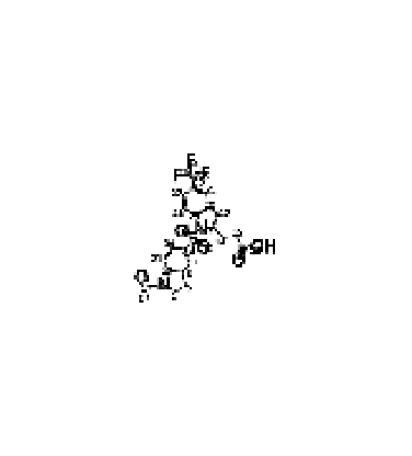 CC(=O)N1CCc2cc(S(=O)(=O)n3c(CCC(=O)O)cc4cc(C(F)(F)F)ccc43)ccc21